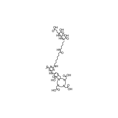 CN(C)c1nc(NCCCCCCCC(=O)NCCCCC[C@H](NC(=O)N[C@@H](CCC(=O)O)C(=O)O)C(=O)O)nc(Nc2ccc(CC3CN(CC(=O)O)CCN(CC(=O)O)CCN(CC(=O)O)CCN3CC(=O)O)cc2)n1